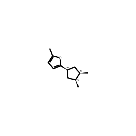 Cc1ccc([C@H]2C[C@@H](C)[C@@H](C)C2)o1